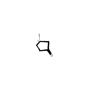 C[C@H]1CCC(=O)C1